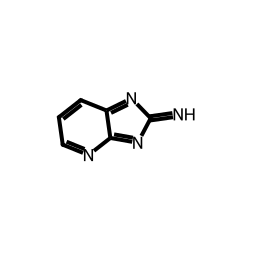 N=C1N=c2cccnc2=N1